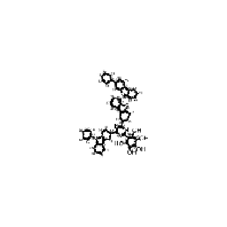 Oc1c(O)c(O)c(-c2nc(-c3ccc4sc5c(-n6c7ccccc7c7ccc(-c8ccccc8)cc76)cccc5c4c3)nc(-c3ccc4c(c3)c3ccccc3n4-c3ccccc3)n2)c(O)c1O